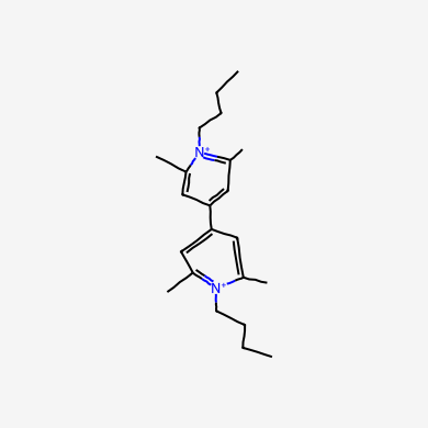 CCCC[n+]1c(C)cc(-c2cc(C)[n+](CCCC)c(C)c2)cc1C